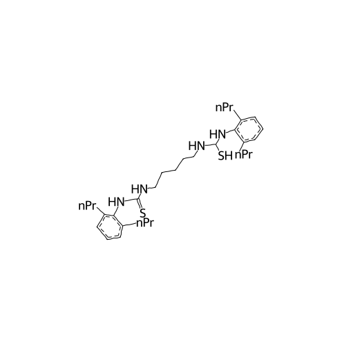 CCCc1cccc(CCC)c1NC(=S)NCCCCCNC(S)Nc1c(CCC)cccc1CCC